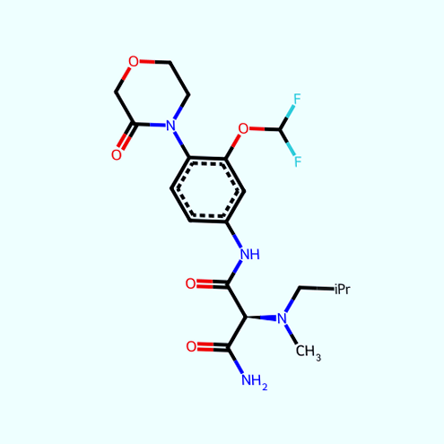 CC(C)CN(C)[C@@H](C(N)=O)C(=O)Nc1ccc(N2CCOCC2=O)c(OC(F)F)c1